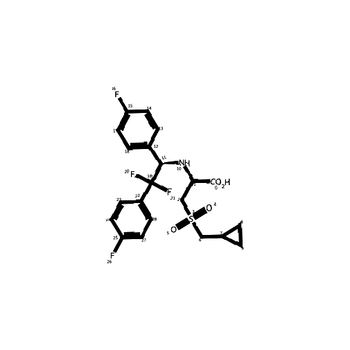 O=C(O)C(CS(=O)(=O)CC1CC1)N[C@H](c1ccc(F)cc1)C(F)(F)c1ccc(F)cc1